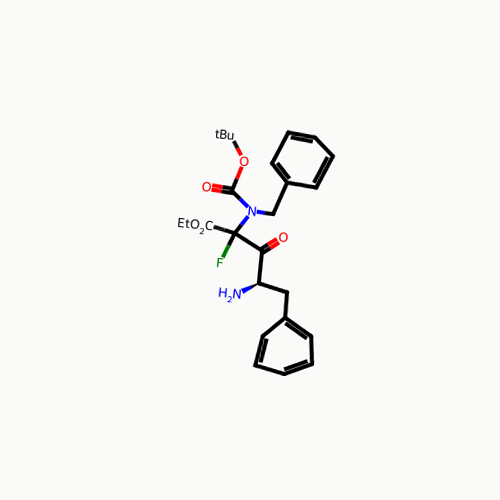 CCOC(=O)C(F)(C(=O)[C@H](N)Cc1ccccc1)N(Cc1ccccc1)C(=O)OC(C)(C)C